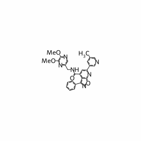 COc1ncc(CNC(=O)c2cc(-c3cncc(C)c3)nc3onc(-c4ccccc4)c23)nc1OC